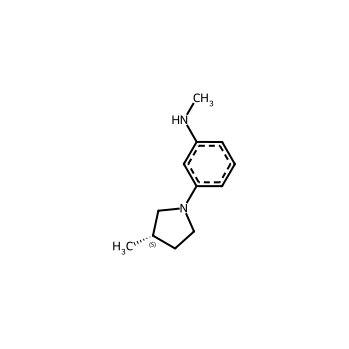 CNc1cccc(N2CC[C@H](C)C2)c1